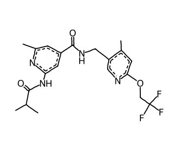 Cc1cc(C(=O)NCc2cnc(OCC(F)(F)F)cc2C)cc(NC(=O)C(C)C)n1